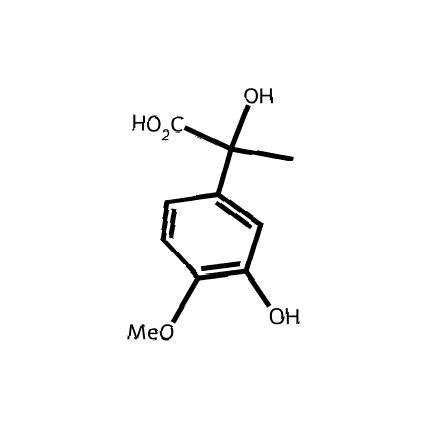 COc1ccc(C(C)(O)C(=O)O)cc1O